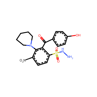 NNS(=O)(=O)c1ccc([N+](=O)[O-])c(N2CCCCC2)c1C(=O)c1ccc(O)cc1